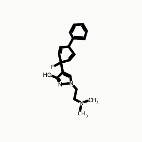 CN(C)CCn1cc(C2(F)C=CC(c3ccccc3)C=C2)c(O)n1